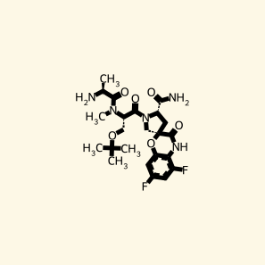 C[C@H](N)C(=O)N(C)[C@@H](COC(C)(C)C)C(=O)N1C[C@@]2(C[C@H]1C(N)=O)Oc1cc(F)cc(F)c1NC2=O